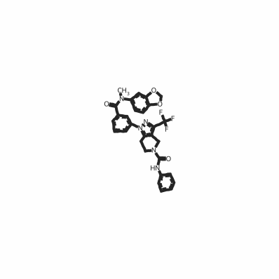 CN(C(=O)c1cccc(-n2nc(C(F)(F)F)c3c2CCN(C(=O)Nc2ccccc2)C3)c1)c1ccc2c(c1)OCO2